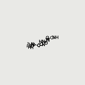 [2H]C([2H])([2H])n1cc(-c2ccc3cnc(NC(=O)c4coc(C5CCNCC5)n4)cc3c2)cn1